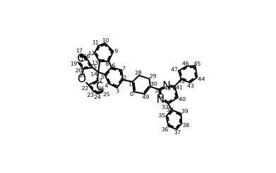 C1=C(c2ccc3c(c2)-c2ccccc2C32c3ccccc3Oc3ccccc32)CCC(c2nc(-c3ccccc3)cc(-c3ccccc3)n2)=C1